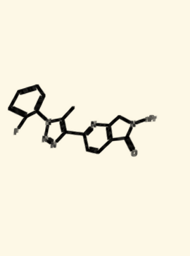 CCCN1Cc2nc(-c3nnn(-c4ccccc4F)c3C)ccc2C1=O